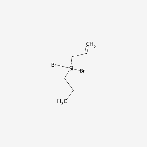 C=CC[Si](Br)(Br)CCC